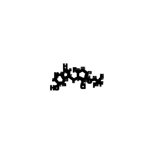 Oc1cnc2[nH]cc(CC3=C(Cl)C(OCC(F)(F)F)=CCC3F)c2c1